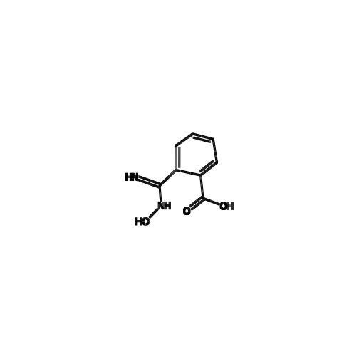 N=C(NO)c1ccccc1C(=O)O